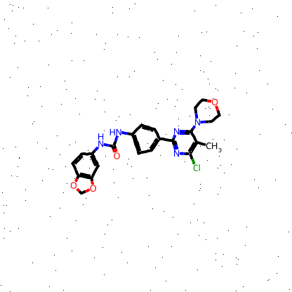 Cc1c(Cl)nc(-c2ccc(NC(=O)Nc3ccc4c(c3)OCO4)cc2)nc1N1CCOCC1